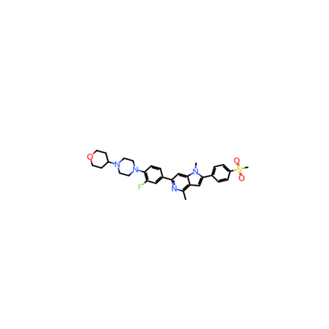 Cc1nc(-c2ccc(N3CCN(C4CCOCC4)CC3)c(F)c2)cc2c1cc(-c1ccc(S(C)(=O)=O)cc1)n2C